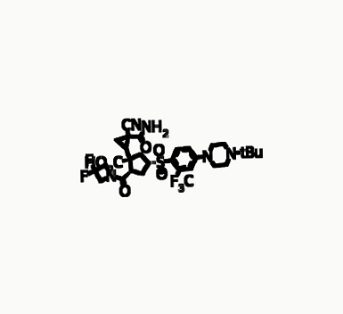 CC(C)(C)N1CCN(c2ccc(S(=O)(=O)[C@@H]3C[C@@H](C(=O)N4CC(F)(F)C4)[C@](C(=O)O)(C4CC4(C#N)C(N)=O)C3)c(C(F)(F)F)c2)CC1